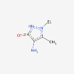 CCn1[nH]c(=O)c(N)c1C